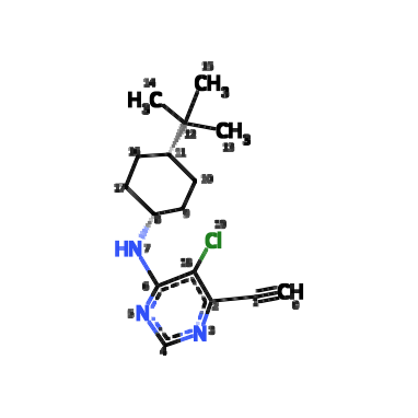 C#Cc1ncnc(N[C@H]2CC[C@@H](C(C)(C)C)CC2)c1Cl